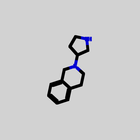 c1ccc2c(c1)CCN(C1CCNC1)C2